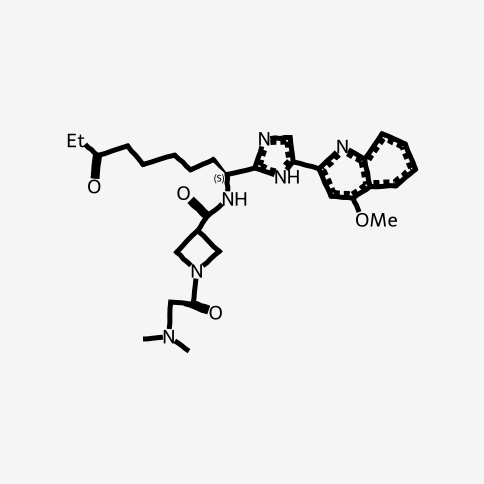 CCC(=O)CCCCC[C@H](NC(=O)C1CN(C(=O)CN(C)C)C1)c1ncc(-c2cc(OC)c3ccccc3n2)[nH]1